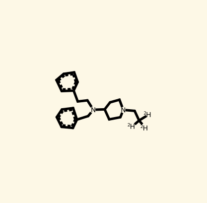 [2H]C([2H])([2H])CN1CCC(N(CCc2ccccc2)Cc2ccccc2)CC1